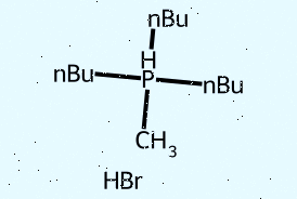 Br.CCCC[PH](C)(CCCC)CCCC